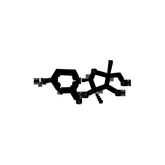 C[C@]1(CO)O[C@@H](n2ccc(N)nc2=O)[C@](C)(O)C1O